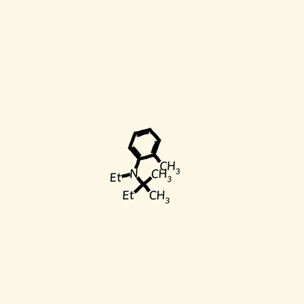 CCN(c1ccccc1C)C(C)(C)CC